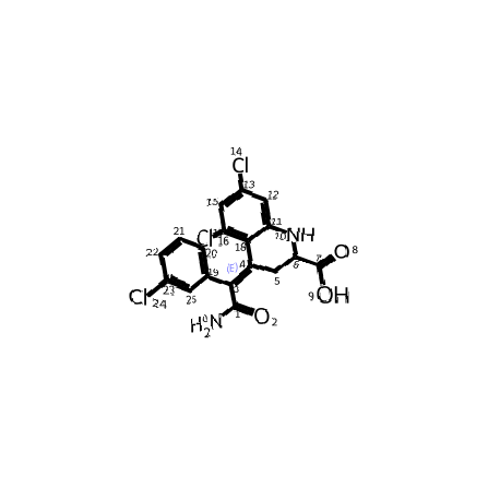 NC(=O)/C(=C1\CC(C(=O)O)Nc2cc(Cl)cc(Cl)c21)c1cccc(Cl)c1